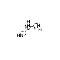 CCc1cc(-c2cc(C3CCNCC3)n[nH]2)ccn1